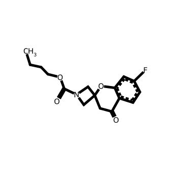 CCCCOC(=O)N1CC2(CC(=O)c3ccc(F)cc3O2)C1